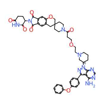 Nc1ncnc2c1c(-c1ccc(Oc3ccccc3)cc1)nn2[C@@H]1CCCN(CCOCCC(=O)N2CCC3(CC2)COc2cc4c(cc2C3)C(=O)N(C2CCC(=O)NC2=O)C4=O)C1